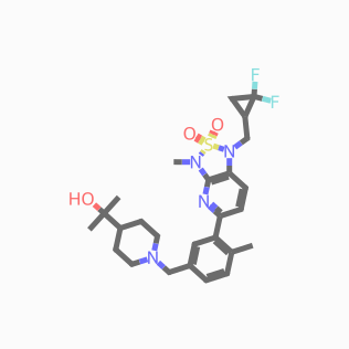 Cc1ccc(CN2CCC(C(C)(C)O)CC2)cc1-c1ccc2c(n1)N(C)S(=O)(=O)N2CC1CC1(F)F